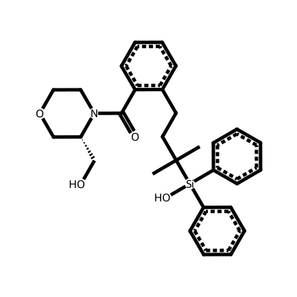 CC(C)(CCc1ccccc1C(=O)N1CCOC[C@H]1CO)[Si](O)(c1ccccc1)c1ccccc1